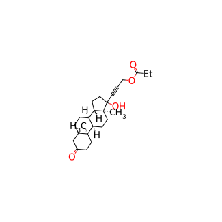 CCC(=O)OCC#CC1(O)CC[C@H]2[C@@H]3CCC4CC(=O)CC[C@]4(C)[C@@H]3CC[C@@]21C